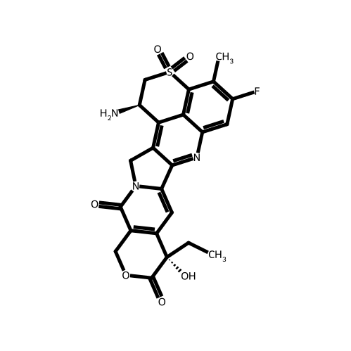 CC[C@@]1(O)C(=O)OCc2c1cc1n(c2=O)Cc2c-1nc1cc(F)c(C)c3c1c2[C@@H](N)CS3(=O)=O